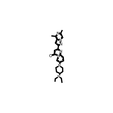 CCN(CC)C1CCN(c2ccc3nc(-c4cc5c(C)nc(C)cn5n4)cc(=O)n3c2)CC1